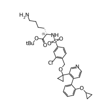 CC(C)(C)OC(=O)[C@H](CCCCN)NS(=O)(=O)c1ccc(COC2(c3cnccc3-c3ccccc3OC3CC3)CC2)c(Cl)c1